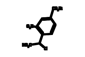 CCOC(=O)c1ccc(C(Cl)C(=O)O)c([N+](=O)[O-])c1